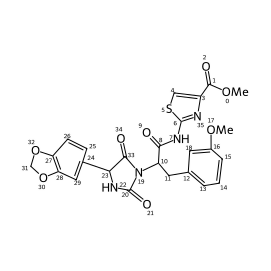 COC(=O)c1csc(NC(=O)C(Cc2cccc(OC)c2)N2C(=O)NC(c3ccc4c(c3)OCO4)C2=O)n1